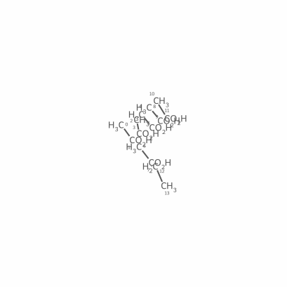 CC(=O)O.CC(=O)O.CC(=O)O.CC(=O)O.CC(=O)O.CC(=O)O.[CH2]C